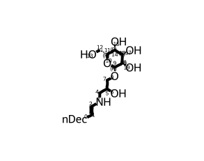 CCCCCCCCCCC=CNCC(O)CO[C@@H]1O[C@H](CO)[C@H](O)[C@H](O)[C@H]1O